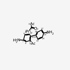 CC(=O)C(=O)C(C)C.CC(=O)c1cc(N)ccc1-c1ccc(N)cc1